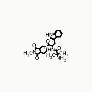 CN1C(=O)C2CCN(C(=O)C(Cc3c[nH]c4ccccc34)NC(=O)C(C)(C)N)CC2C1=O